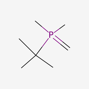 C=P(C)(C)C(C)(C)C